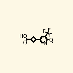 COc1ncc(C2CC(C(=O)O)C2)cc1C(F)(F)F